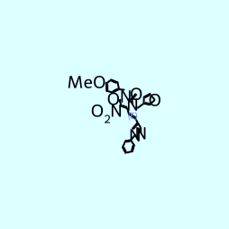 COc1ccc(Cn2c(=O)c([N+](=O)[O-])c(/C=C/c3cnn(-c4ccccc4)c3)n(Cc3ccoc3)c2=O)cc1